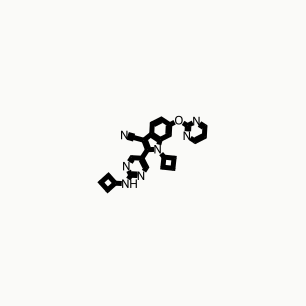 N#Cc1c(-c2cnc(NC3CCC3)nc2)n(C2CCC2)c2cc(Oc3ncccn3)ccc12